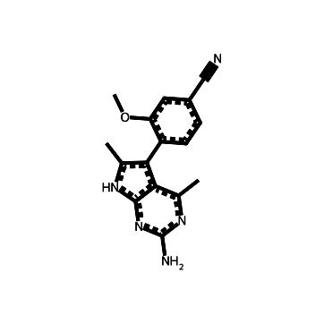 COc1cc(C#N)ccc1-c1c(C)[nH]c2nc(N)nc(C)c12